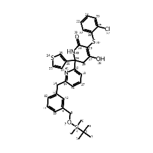 CC(C)(C)[Si](C)(C)OCc1cccc(Cc2cccc(C3(c4ccsc4)CC(O)=C(Sc4ccccc4Cl)C(=O)N3)n2)c1